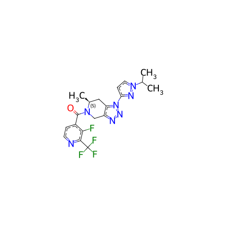 CC(C)n1ccc(-n2nnc3c2C[C@H](C)N(C(=O)c2ccnc(C(F)(F)F)c2F)C3)n1